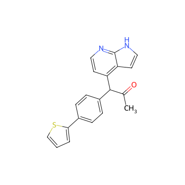 CC(=O)C(c1ccc(-c2cccs2)cc1)c1ccnc2[nH]ccc12